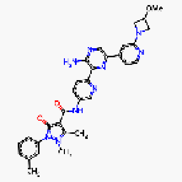 COC1CN(c2cc(-c3cnc(N)c(-c4ccc(NC(=O)c5c(C)n(C)n(-c6cccc(C)c6)c5=O)cn4)n3)ccn2)C1